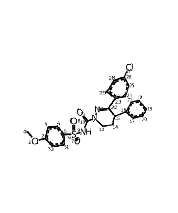 COc1ccc(S(=O)(=O)NC(=O)N2CCC(c3ccccc3)C(c3ccc(Cl)cc3)=N2)cc1